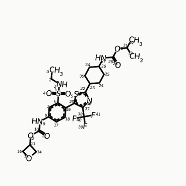 CCNS(=O)(=O)c1cc(NC(=O)OC2COC2)ccc1-c1sc(C2CCC(NC(=O)OC(C)C)CC2)nc1C(F)(F)F